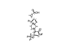 O=C(O)[C@@H]1C[C@H]1c1ccc2c(c1F)CCN(c1cc(OC(F)(F)F)cc(F)c1Cl)C2